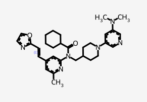 Cc1cc(/C=C/c2ncco2)cc(N(CC2CCN(c3cncc(N(C)C)c3)CC2)C(=O)C2CCCCC2)n1